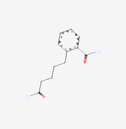 NC(=O)C[CH]CCc1ccccc1C(N)=O